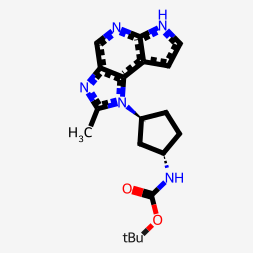 Cc1nc2cnc3[nH]ccc3c2n1[C@H]1CC[C@H](NC(=O)OC(C)(C)C)C1